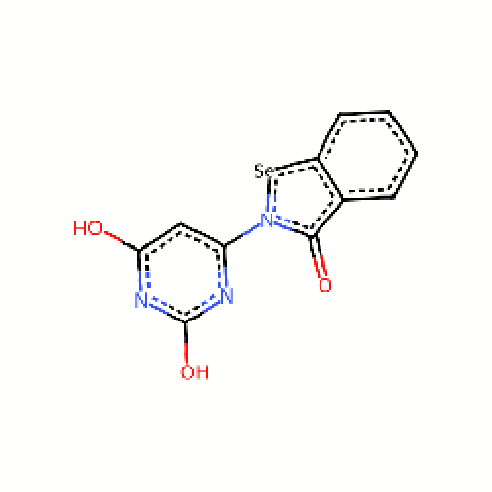 O=c1c2ccccc2[se]n1-c1cc(O)nc(O)n1